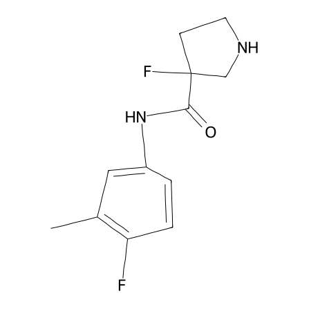 Cc1cc(NC(=O)C2(F)CCNC2)ccc1F